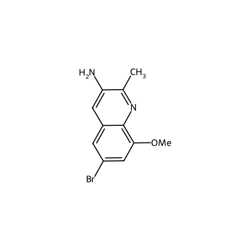 COc1cc(Br)cc2cc(N)c(C)nc12